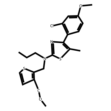 CCCN(Cc1sccc1COC)c1nc(-c2ccc(OC)cc2Cl)c(C)s1